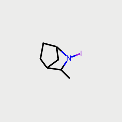 CC1C2CCC(C2)N1I